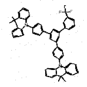 CC1(C)c2ccccc2N(c2ccc(-c3cc(-c4ccc(N5c6ccccc6C(C)(C)c6ccccc65)cc4)cc(-c4cccc(C(F)(F)F)c4)c3)cc2)c2ccccc21